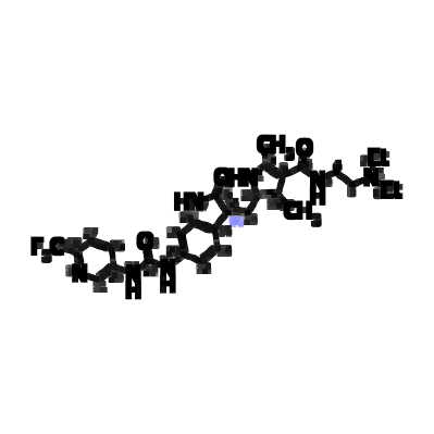 CCN(CC)CCNC(=O)c1c(C)[nH]c(/C=C2\C(=O)Nc3cc(NC(=O)Nc4ccc(C(F)(F)F)nc4)ccc32)c1C